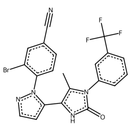 Cc1c(-c2ccnn2-c2ccc(C#N)cc2Br)[nH]c(=O)n1-c1cccc(C(F)(F)F)c1